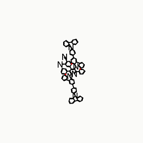 N#Cc1ccc(-c2c(-c3ccccc3)c(-n3c4ccccc4c4cc(-c5ccc(-n6c7ccccc7c7ccccc76)cc5)ccc43)nc(-c3ccccc3)c2-n2c3ccccc3c3cc(-c4ccc(-n5c6ccccc6c6ccccc65)cc4)ccc32)cc1C#N